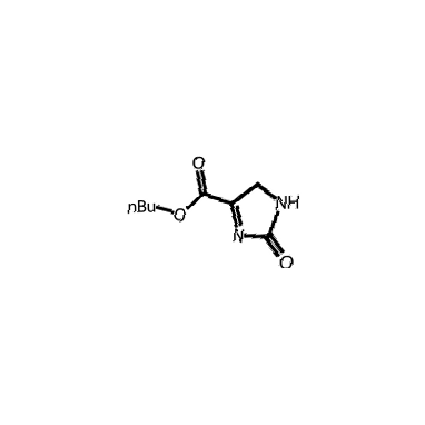 CCCCOC(=O)C1=NC(=O)NC1